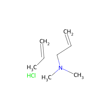 C=CC.C=CCN(C)C.Cl